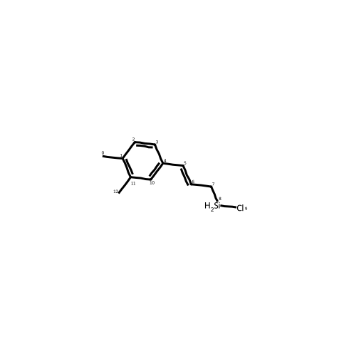 Cc1ccc(C=CC[SiH2]Cl)cc1C